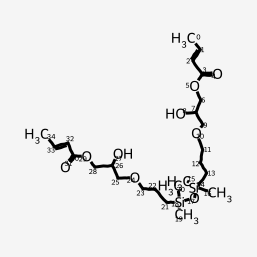 CC=CC(=O)OCC(O)COCCC[Si](C)(C)O[Si](C)(C)CCCOCC(O)COC(=O)C=CC